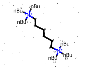 CCCC[N+](CCCC)(CCCC)CCCCCC[N+](CCCC)(CCCC)CCCC